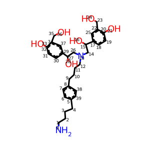 NCCCCc1ccc(CCCCN(CC(O)c2ccc(O)c(CO)c2)CC(O)c2ccc(O)c(CO)c2)cc1